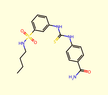 CCCCNS(=O)(=O)c1cccc(NC(=S)Nc2ccc(C(N)=O)cc2)c1